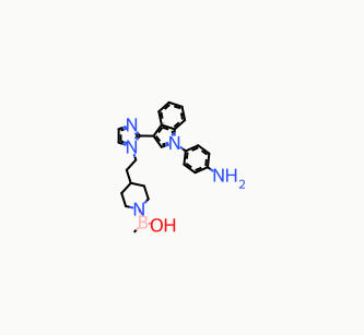 CB(O)N1CCC(CCn2ccnc2-c2cn(-c3ccc(N)cc3)c3ccccc23)CC1